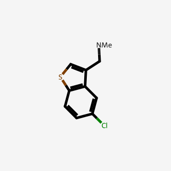 CNCc1csc2ccc(Cl)cc12